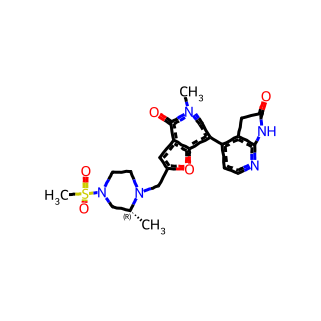 C[C@@H]1CN(S(C)(=O)=O)CCN1Cc1cc2c(=O)n(C)cc(-c3ccnc4c3CC(=O)N4)c2o1